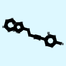 Fc1ccc(C#CCCc2cn3ccccc3n2)nc1